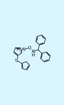 C1=CC[C]([Ti][C]2=CC=CC2)=C1.[AlH2][O][AlH][CH](c1ccccc1)c1ccccc1